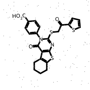 O=C(O)c1ccc(-n2c(SCC(=O)c3cccs3)nc3sc4c(c3c2=O)CCCC4)cc1